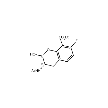 CCOC(=O)c1c(F)ccc2c1OB(O)[C@@H](NC(C)=O)C2